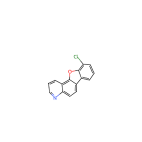 Clc1cccc2c1oc1c3cccnc3ccc21